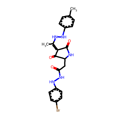 CC(NNc1ccc(C)cc1)=C1C(=O)NC(CC(=O)NNc2ccc(Br)cc2)C1=O